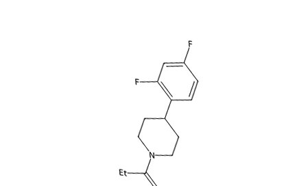 CCC(=O)N1CCC(c2ccc(F)cc2F)CC1